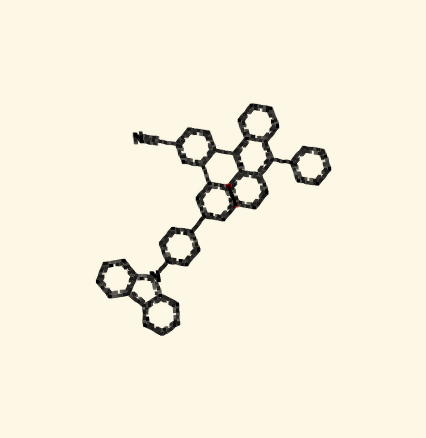 N#Cc1ccc(-c2c3ccccc3c(-c3ccccc3)c3ccccc23)c(-c2cccc(-c3ccc(-n4c5ccccc5c5ccccc54)cc3)c2)c1